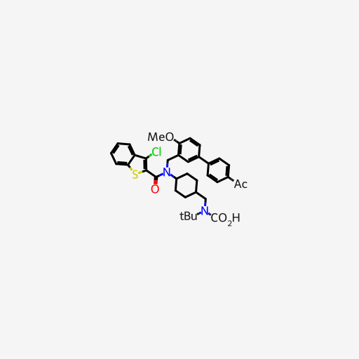 COc1ccc(-c2ccc(C(C)=O)cc2)cc1CN(C(=O)c1sc2ccccc2c1Cl)C1CCC(CN(C(=O)O)C(C)(C)C)CC1